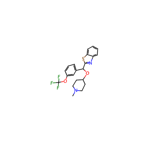 CN1CCC(OC(c2cccc(OC(F)(F)F)c2)c2nc3ccccc3s2)CC1